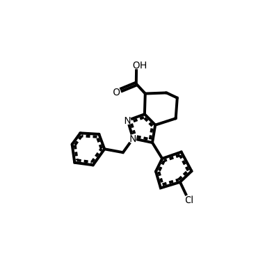 O=C(O)C1CCCc2c1nn(Cc1ccccc1)c2-c1ccc(Cl)cc1